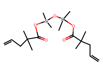 C=CCC(C)(C)C(=O)O[Si](C)(C)O[Si](C)(C)OC(=O)C(C)(C)CC=C